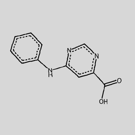 O=C(O)c1cc(Nc2ccccc2)ncn1